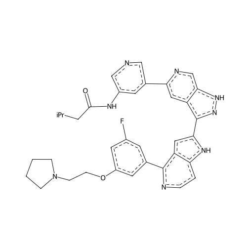 CC(C)CC(=O)Nc1cncc(-c2cc3c(-c4cc5c(-c6cc(F)cc(OCCN7CCCC7)c6)nccc5[nH]4)n[nH]c3cn2)c1